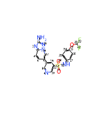 Nc1nc2ccc(-c3cncc(S(=O)(=O)Nc4ccc(OC(F)F)cc4)c3)cn2n1